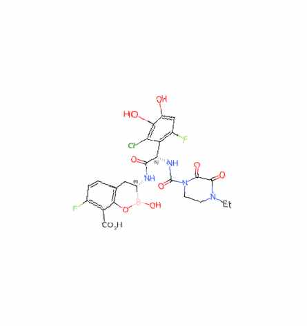 CCN1CCN(C(=O)N[C@H](C(=O)N[C@H]2Cc3ccc(F)c(C(=O)O)c3OB2O)c2c(F)cc(O)c(O)c2Cl)C(=O)C1=O